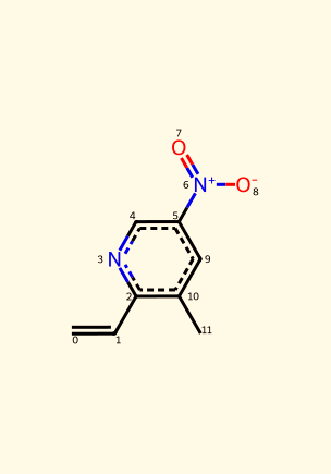 C=Cc1ncc([N+](=O)[O-])cc1C